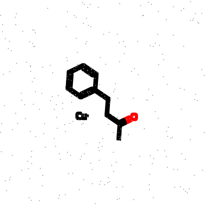 CC(=O)CCc1ccccc1.[Cu]